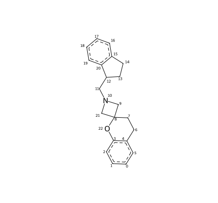 c1ccc2c(c1)CCC1(CN(CC3CCc4ccccc43)C1)O2